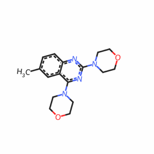 Cc1ccc2nc(N3CCOCC3)nc(N3CCOCC3)c2c1